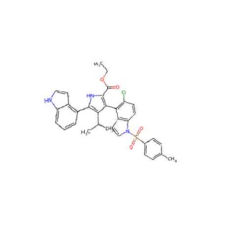 CCOC(=O)c1[nH]c(-c2cccc3[nH]ccc23)c(C(C)C)c1-c1c(Cl)ccc2c1ccn2S(=O)(=O)c1ccc(C)cc1